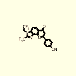 N#Cc1ccc(-c2cc(=O)c3ccc4c(nc(C(F)(F)F)n4CC(F)(F)F)c3o2)cc1